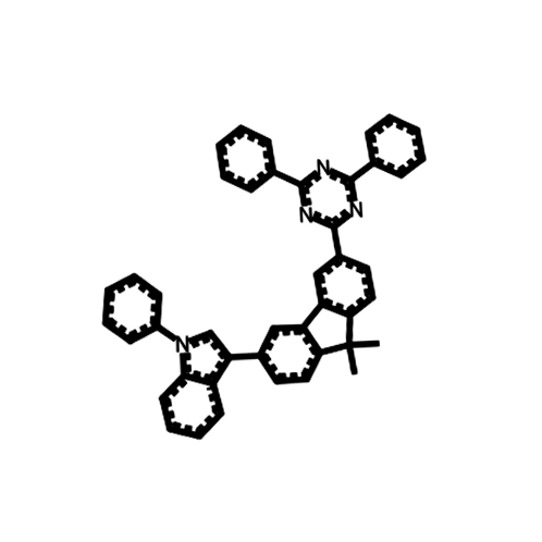 CC1(C)c2ccc(-c3nc(-c4ccccc4)nc(-c4ccccc4)n3)cc2-c2cc(-c3cn(-c4ccccc4)c4ccccc34)ccc21